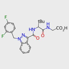 CC(C)(C)C(NC(=O)c1nn(Cc2ccc(F)cc2F)c2ccccc12)C(=O)NCC(=O)O